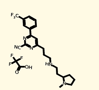 CN1CCCC1CCNCCCc1cc(-c2cccc(C(F)(F)F)c2)nc(C#N)n1.O=C(O)C(F)(F)F